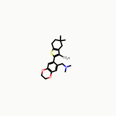 CN(C)Cc1cc2c(cc1-c1sc3c(c1C(=O)O)CC(C)(C)CC3)OCCO2